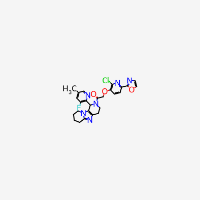 Cc1cnc(C2c3c(nc4n3CCCC4)CCN2C(=O)COc2ccc(-c3ncco3)nc2Cl)c(F)c1